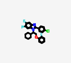 Fc1cc2nc(-c3ccc(Cl)cc3)n(C(COc3ccccc3F)C3CCCCC3)c2cc1F